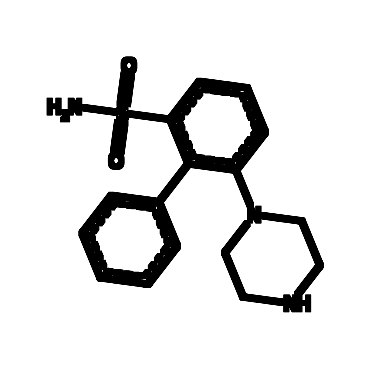 NS(=O)(=O)c1cccc(N2CCNCC2)c1-c1ccccc1